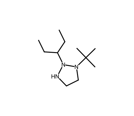 CCC(CC)N1NCCN1C(C)(C)C